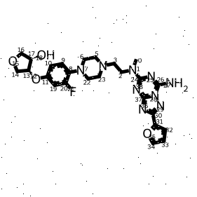 CN(CCN1CCN(c2ccc(O[C@H]3COC[C@@H]3O)cc2F)CC1)c1nc(N)n2nc(-c3ccco3)nc2n1